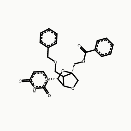 O=C(OC[C@]12COC(C1COCc1ccccc1)[C@H](n1ccc(=O)[nH]c1=O)O2)c1ccccc1